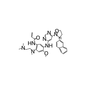 C=CC(=O)Nc1cc(Nc2cc(N3OCC[C@@H]3c3ccc4ccccc4c3)ncn2)c(OC)cc1N(C)CCN(C)C